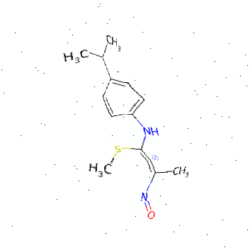 CS/C(Nc1ccc(C(C)C)cc1)=C(/C)N=O